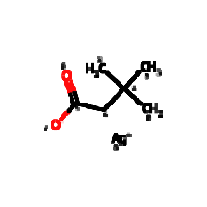 CC(C)(C)CC(=O)[O-].[Ag+]